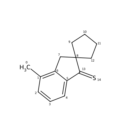 Cc1cccc2c1CC1(CCCC1)C2=S